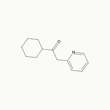 O=C(Cc1ccccn1)C1CCCCC1